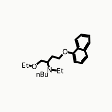 CCCCN(CC)C(CCOc1cccc2ccccc12)COCC